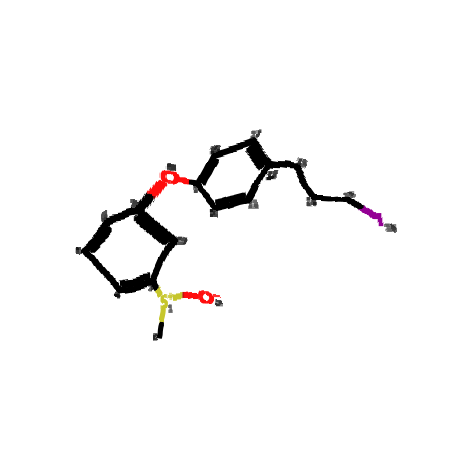 C[S+]([O-])c1cccc(Oc2ccc(CCCI)cc2)c1